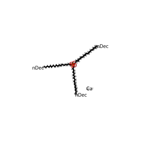 CCCCCCCCCCCCCCCCCCCCCCCCCCCCOP(=O)(OCCCCCCCCCCCCCCCCCCCCCCCCCCCC)OCCCCCCCCCCCCCCCCCCCCCCCCCCCC.[Ca]